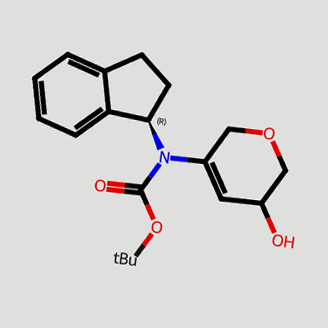 CC(C)(C)OC(=O)N(C1=CC(O)COC1)[C@@H]1CCc2ccccc21